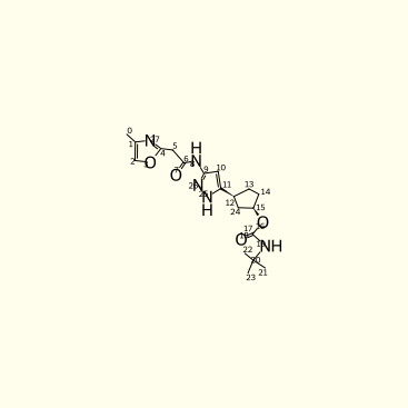 Cc1coc(CC(=O)Nc2cc([C@H]3CC[C@@H](OC(=O)NC(C)(C)C)C3)[nH]n2)n1